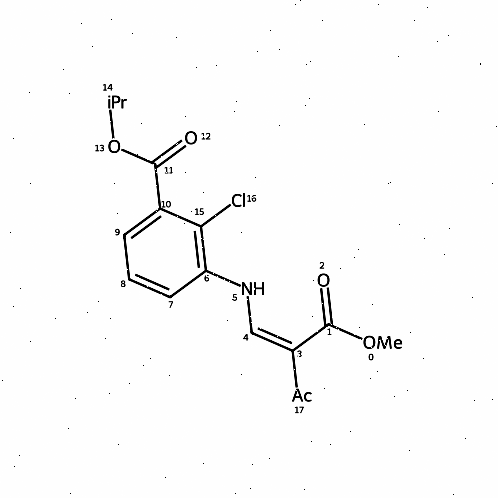 COC(=O)C(=CNc1cccc(C(=O)OC(C)C)c1Cl)C(C)=O